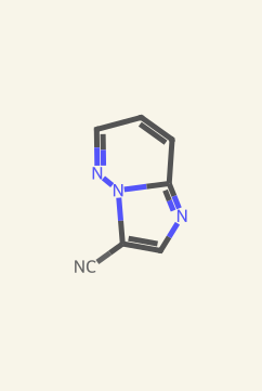 N#Cc1cnc2cccnn12